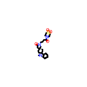 CN(C)[C@]1(c2ccccc2)CC[C@@]2(CC1)CC(=O)N(CCCC(=O)N1CCS(=O)(=O)CC1)C2